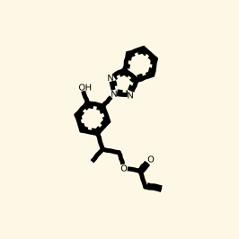 C=CC(=O)OCC(C)c1ccc(O)c(-n2nc3ccccc3n2)c1